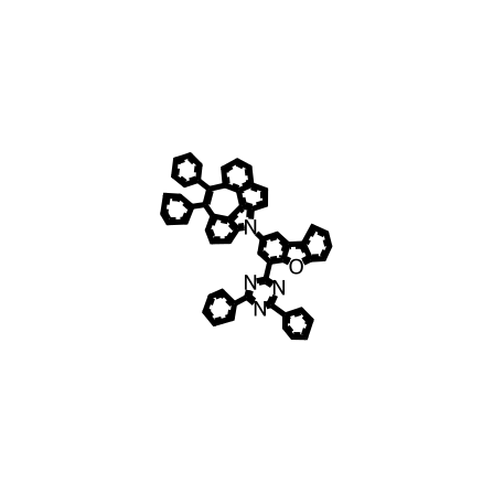 c1ccc(C2=C(c3ccccc3)c3cccc4c3c3c5c2cccc5ccc3n4-c2cc(-c3nc(-c4ccccc4)nc(-c4ccccc4)n3)c3oc4ccccc4c3c2)cc1